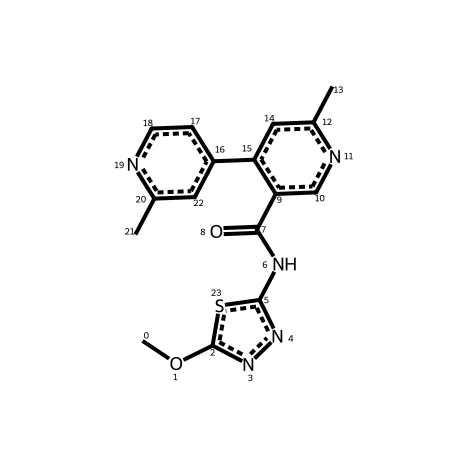 COc1nnc(NC(=O)c2cnc(C)cc2-c2ccnc(C)c2)s1